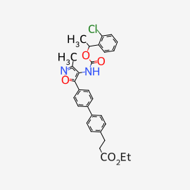 CCOC(=O)CCc1ccc(-c2ccc(-c3onc(C)c3NC(=O)OC(C)c3ccccc3Cl)cc2)cc1